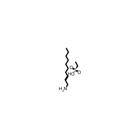 CCCCCCCC=CCN.CCS(=O)(=O)O